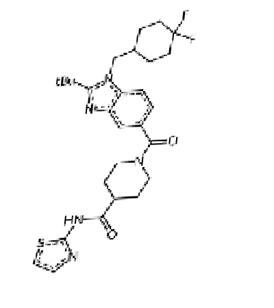 CC(C)(C)c1nc2cc(C(=O)N3CCC(C(=O)Nc4nccs4)CC3)ccc2n1CC1CCC(F)(F)CC1